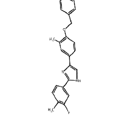 Cc1ccc(-c2nc(-c3ccc(OCc4ccccc4)c(C)c3)c[nH]2)cc1F